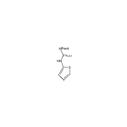 CCCCCC(=O)Nc1c[c]cs1